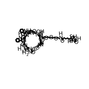 C[C@@H]1NC(=O)[C@@H](Cc2c[nH]c3ccccc23)NC(=O)[C@@H](Cc2c[nH]c3ccccc23)NC(=O)[C@H]2CCCN2C(=O)[C@@H](CO)NC(=O)[C@@H](NC(=O)COCCOCCOCCNC(=O)CCCCC2SC[C@@H]3NC(=O)N[C@H]23)Cc2cn(nn2)CCCC[C@@H](C(N)=O)NC1=O